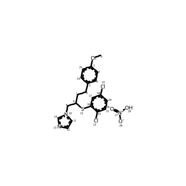 COc1ccc(CCC(Cn2ccnc2)Sc2cc(Cl)ccc2Cl)cc1.O=[N+]([O-])O